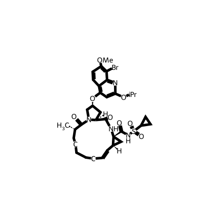 COc1ccc2c(O[C@@H]3C[C@H]4C(=O)N[C@]5(C(=O)NS(=O)(=O)C6CC6)C[C@H]5/C=C\CCCCC[C@H](C)C(=O)N4C3)cc(OC(C)C)nc2c1Br